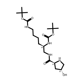 CC(C)(C)OC(=O)NCCCC[C@H](CNC(=O)[C@@H]1C[C@@H](O)CN1)NC(=O)OC(C)(C)C